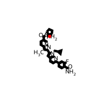 Cc1c(-c2cc3ccc(-c4ccc(C(N)=O)c(F)c4)nc3n2CC2CC2)nn2cc(C(=O)N3CC4CCC3[C@@H]4N)ccc12